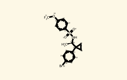 C[C@@H](NS(=O)(=O)c1ccc(OC(F)(F)F)cc1)C1(c2ccc(Br)cc2)CC1